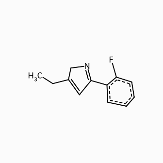 CCC1=CC(c2ccccc2F)=NC1